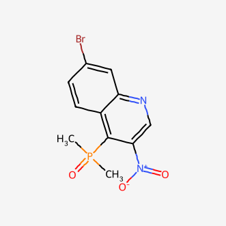 CP(C)(=O)c1c([N+](=O)[O-])cnc2cc(Br)ccc12